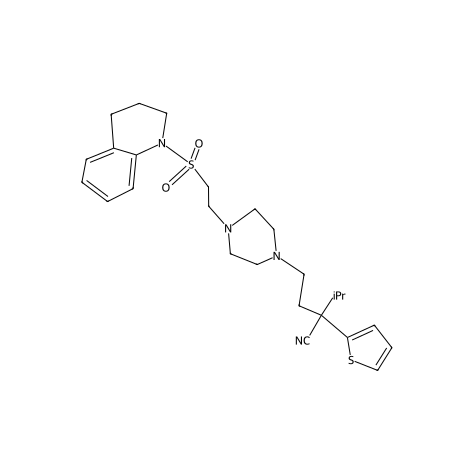 CC(C)C(C#N)(CCN1CCN(CCS(=O)(=O)N2CCCc3ccccc32)CC1)c1cccs1